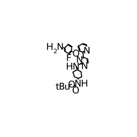 CC(C)(C)OC(=O)NC1CCC(Nc2nccc(-c3ncccc3Oc3ccc(N)cc3F)n2)CC1